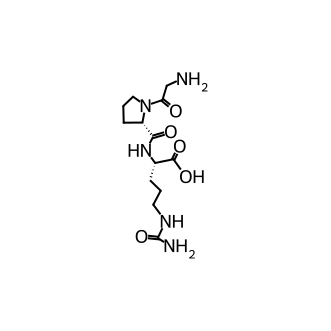 NCC(=O)N1CCC[C@H]1C(=O)N[C@@H](CCCNC(N)=O)C(=O)O